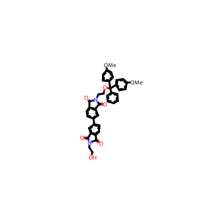 COc1ccc(C(OCCN2C(=O)c3ccc(-c4ccc5c(c4)C(=O)N(CCO)C5=O)cc3C2=O)(c2ccccc2)c2ccc(OC)cc2)cc1